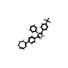 CC(C)(C)c1ccc(-c2nnc(C3=C=C=C(C4=CC=CCCC4)C=C3)n2-c2ccccc2)cc1